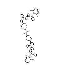 Cc1cccc(C)c1C(=O)OOC(=O)OC1CCC(C(C)(C)C2CCC(OC(=O)OOC(=O)c3c(C)cccc3C)CC2)CC1